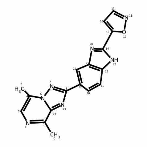 Cc1ncc(C)n2nc(-c3ccc4[nH]c(-c5ccno5)nc4c3)nc12